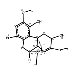 COC1=C[C@H]2[C@H]3Cc4c(Br)cc(OC)c(O)c4[C@@]2(CCN3C)CC1O